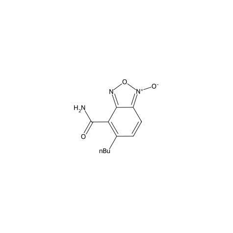 CCCCc1ccc2c(no[n+]2[O-])c1C(N)=O